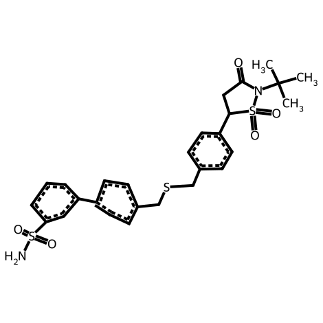 CC(C)(C)N1C(=O)CC(c2ccc(CSCc3ccc(-c4cccc(S(N)(=O)=O)c4)cc3)cc2)S1(=O)=O